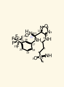 CS(=N)(=O)CCCNc1nonc1/C(=N/O)Nc1cccc(S(F)(F)(F)(F)F)c1